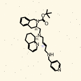 CC(C)(C)OC(=O)N1Cc2ccccc2C[C@@H]1CN(C/C=C/CNCc1ccncc1)[C@H]1CCCc2cccnc21